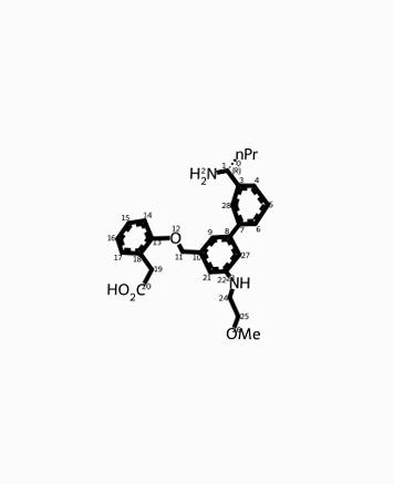 CCC[C@@H](N)c1cccc(-c2cc(COc3ccccc3CC(=O)O)cc(NCCOC)c2)c1